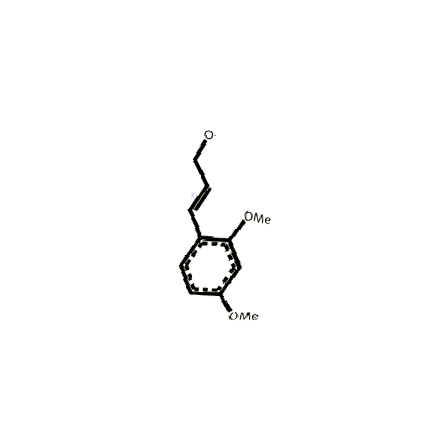 COc1ccc(/C=C/C[O])c(OC)c1